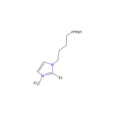 CCCCCCCCCCCn1cc[n+](C)c1CC